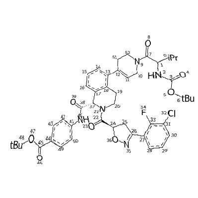 CC(C)C(NC(=O)OC(C)(C)C)C(=O)N1CC=C(c2cccc3c2CCN(C(=O)[C@H]2CC(c4cccc(Cl)c4F)=NO2)[C@@H]3C(=O)Nc2ccc(C(=O)OC(C)(C)C)cc2)CC1